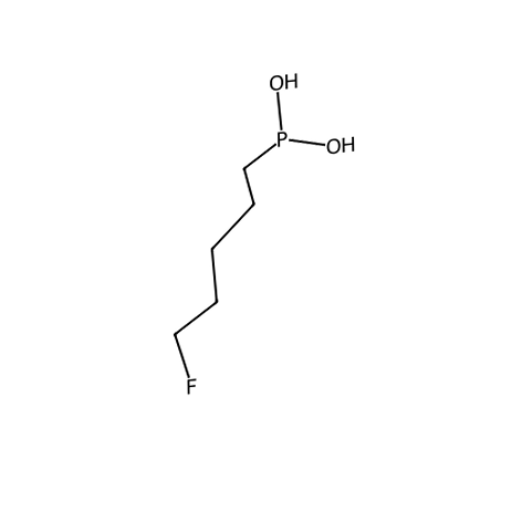 OP(O)CCCCCF